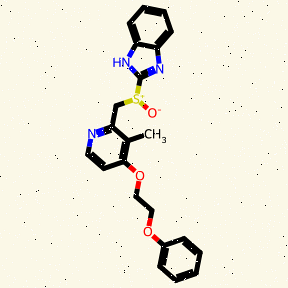 Cc1c(OCCOc2ccccc2)ccnc1C[S+]([O-])c1nc2ccccc2[nH]1